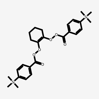 C[Si](C)(C)c1ccc(C(=O)OOC2=C(OOC(=O)c3ccc([Si](C)(C)C)cc3)CCCC2)cc1